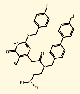 CCN(CC)CCN(Cc1ccc(-c2ccc(Cl)cc2)cc1)C(=O)Cc1nc(SCc2ccc(F)cc2)[nH]c(=O)c1Br